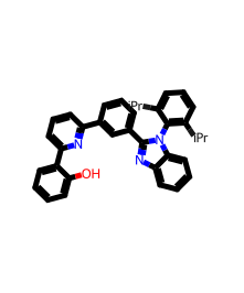 CC(C)c1cccc(C(C)C)c1-n1c(-c2cccc(-c3cccc(-c4ccccc4O)n3)c2)nc2ccccc21